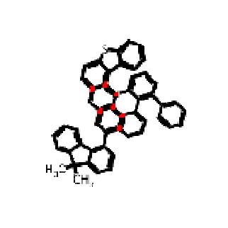 CC1(C)c2ccccc2-c2c(-c3ccc(N(c4cccc(-c5ccccc5)c4-c4ccccc4-c4ccccc4)c4cccc5sc6ccccc6c45)cc3)cccc21